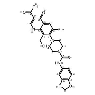 CCc1c(N2CCN(C(=S)Nc3ccc4c(c3)OCO4)CC2)c(F)cc2c(=O)c(C(=O)O)c[nH]c12